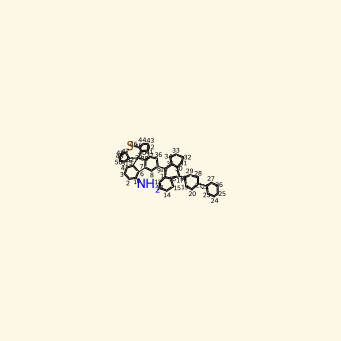 Nc1cccc2c1-c1cc(-c3c4ccccc4c(-c4ccc(-c5ccccc5)cc4)c4ccccc34)ccc1C21c2ccccc2Sc2ccccc21